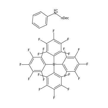 CCCCCCCCCC[NH2+]c1ccccc1.Fc1c(F)c(F)c([B-](c2c(F)c(F)c(F)c(F)c2F)(c2c(F)c(F)c(F)c(F)c2F)c2c(F)c(F)c(F)c(F)c2F)c(F)c1F